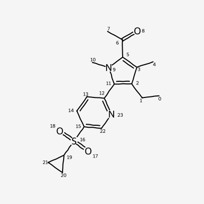 CCc1c(C)c(C(C)=O)n(C)c1-c1ccc(S(=O)(=O)C2CC2)cn1